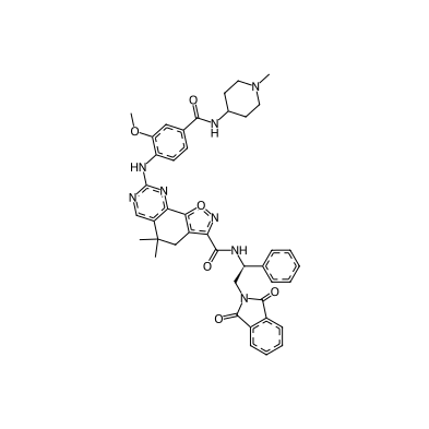 COc1cc(C(=O)NC2CCN(C)CC2)ccc1Nc1ncc2c(n1)-c1onc(C(=O)N[C@H](CN3C(=O)c4ccccc4C3=O)c3ccccc3)c1CC2(C)C